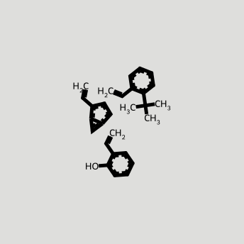 C=Cc1ccc2cc1-2.C=Cc1ccccc1C(C)(C)C.C=Cc1ccccc1O